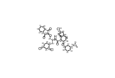 O=C(NC(CON1C(=O)c2ccccc2C1=O)Cc1ccc(Cl)cc1Cl)c1c(Oc2cccc(C3CC3)c2)cnc2cc(Cl)nn12